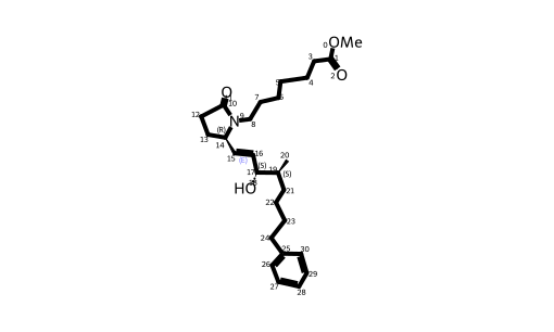 COC(=O)CCCCCCN1C(=O)CC[C@@H]1/C=C/[C@@H](O)[C@@H](C)CCCCc1ccccc1